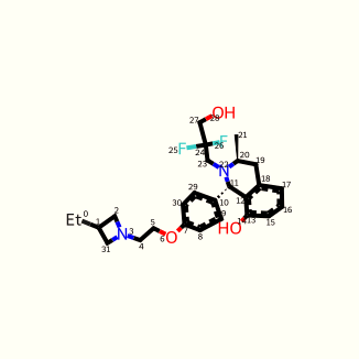 CCC1CN(CCOc2ccc([C@H]3c4c(O)cccc4C[C@H](C)N3CC(F)(F)CO)cc2)C1